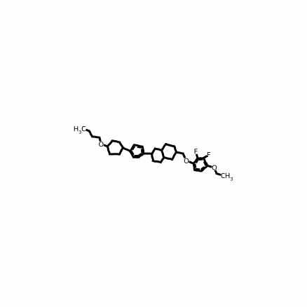 CCCCOC1CCC(c2ccc(C3CCC4CC(COc5ccc(OCC)c(F)c5F)CCC4C3)cc2)CC1